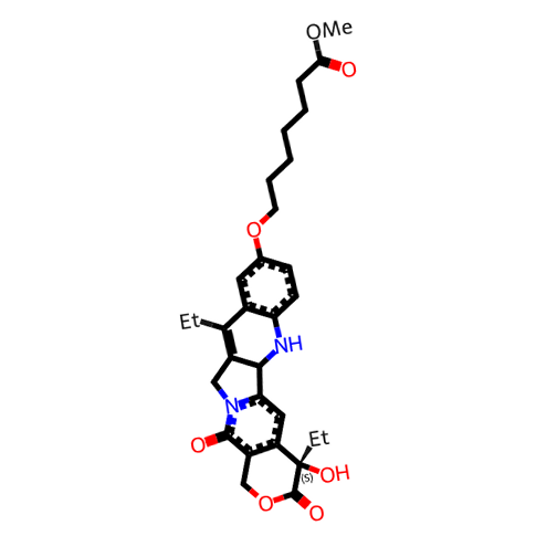 CCC1=C2Cn3c(cc4c(c3=O)COC(=O)[C@]4(O)CC)C2Nc2ccc(OCCCCCCC(=O)OC)cc21